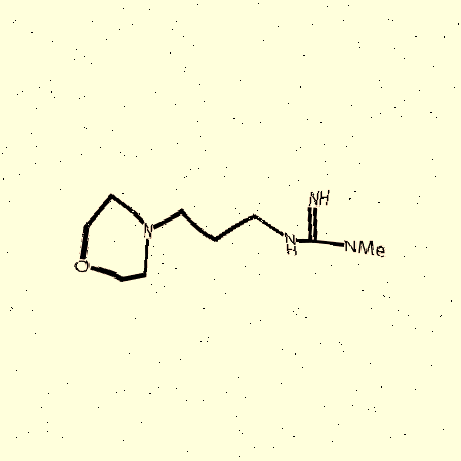 CNC(=N)NCCCN1CCOCC1